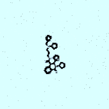 O=C(NCCCN(Cc1ccco1)C1CCCC1)C1c2ccccc2C(=O)N(C2CCCC2)C1c1cccs1